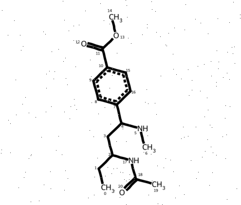 CCC(CC(NC)c1ccc(C(=O)OC)cc1)NC(C)=O